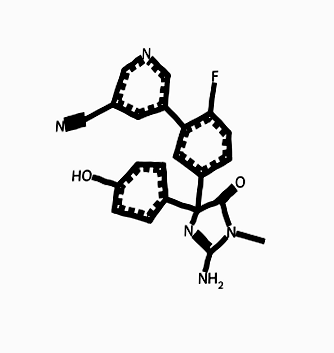 CN1C(=O)C(c2ccc(O)cc2)(c2ccc(F)c(-c3cncc(C#N)c3)c2)N=C1N